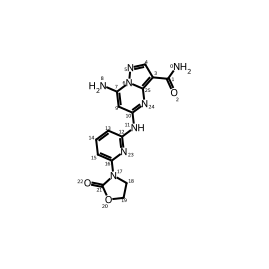 NC(=O)c1cnn2c(N)cc(Nc3cccc(N4CCOC4=O)n3)nc12